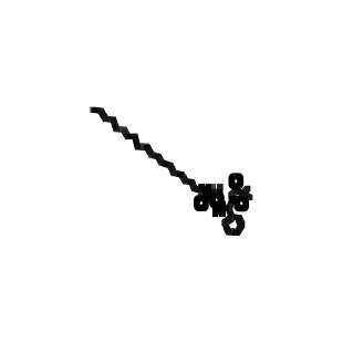 CCCCCCCC/C=C/CCCCCCCCCNC(=O)ON=C(C1=CC(=O)C(C)(C)O1)c1ccccc1